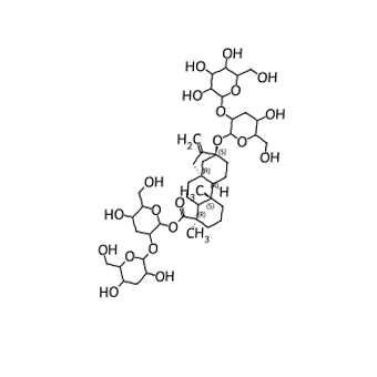 C=C1C[C@@]23CCC4[C@](C)(C(=O)OC5OC(CO)C(O)CC5OC5OC(CO)C(O)CC5O)CCC[C@@]4(C)[C@@H]2CC[C@]1(OC1OC(CO)C(O)CC1OC1OC(CO)C(O)C(O)C1O)C3